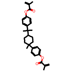 C=C(C)C(=O)Oc1ccc(C2(C)CCC(C(C)(C)c3ccc(OC(=O)C(=C)C)cc3)CC2)cc1